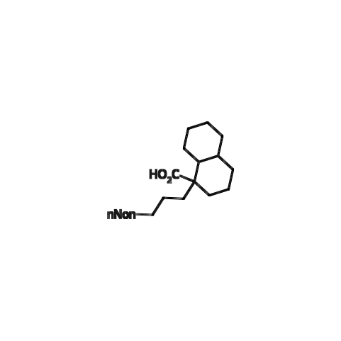 CCCCCCCCCCCCC1(C(=O)O)CCCC2CCCCC21